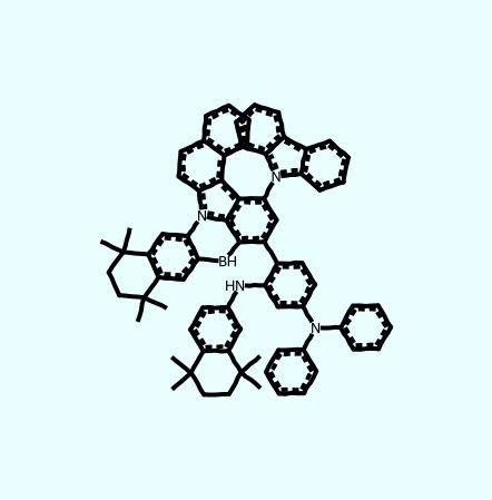 CC1(C)CCC(C)(C)c2cc(Nc3cc(N(c4ccccc4)c4ccccc4)ccc3-c3cc(-n4c5ccccc5c5ccccc54)c4c5c6ccccc6ccc5n5c4c3Bc3cc4c(cc3-5)C(C)(C)CCC4(C)C)ccc21